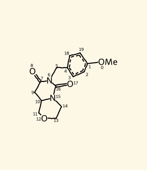 COc1ccc(CN2C(=O)CC3COCCN3C2=O)cc1